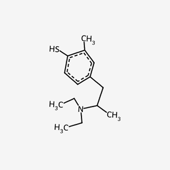 CCN(CC)C(C)Cc1ccc(S)c(C)c1